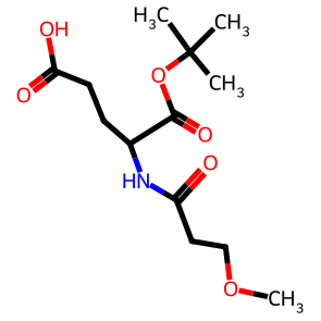 COCCC(=O)NC(CCC(=O)O)C(=O)OC(C)(C)C